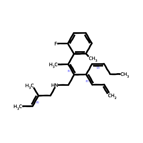 C=C/C=C(\C=C/CC)C(/CNC/C(C)=C/C)=C(/C)c1c(C)cccc1F